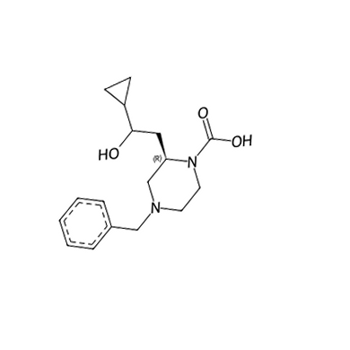 O=C(O)N1CCN(Cc2ccccc2)C[C@H]1CC(O)C1CC1